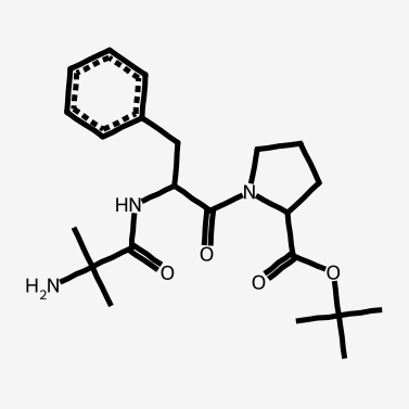 CC(C)(C)OC(=O)C1CCCN1C(=O)C(Cc1ccccc1)NC(=O)C(C)(C)N